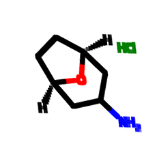 Cl.NC1C[C@H]2CC[C@@H](C1)O2